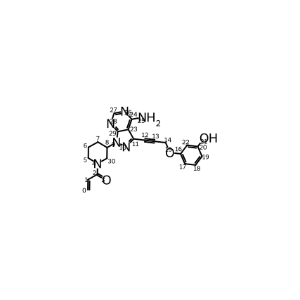 C=CC(=O)N1CCCC(n2nc(C#CCOc3cccc(O)c3)c3c(N)ncnc32)C1